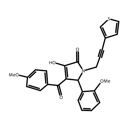 COc1ccc(C(=O)C2=C(O)C(=O)N(CC#Cc3ccsc3)C2c2ccccc2OC)cc1